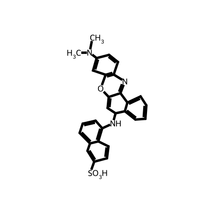 CN(C)c1ccc2c(c1)OC1=CC(Nc3cccc4cc(S(=O)(=O)O)ccc34)c3ccccc3C1=N2